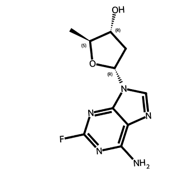 C[C@@H]1O[C@@H](n2cnc3c(N)nc(F)nc32)C[C@H]1O